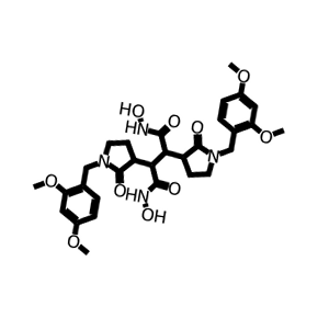 COc1ccc(CN2CCC(C(C(=O)NO)C(C(=O)NO)C3CCN(Cc4ccc(OC)cc4OC)C3=O)C2=O)c(OC)c1